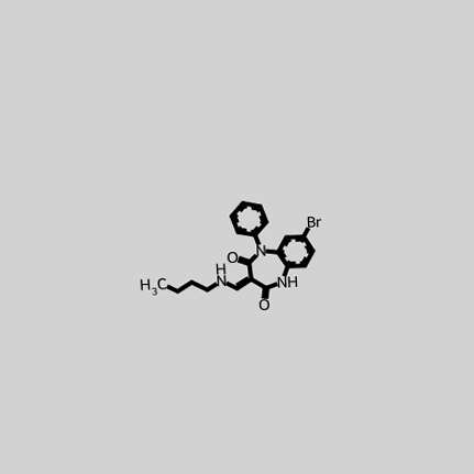 CCCCNC=C1C(=O)Nc2ccc(Br)cc2N(c2ccccc2)C1=O